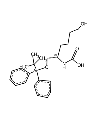 CC(C)(C)[Si](OC[C@H](CCCCO)NC(=O)O)(c1ccccc1)c1ccccc1